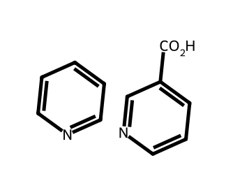 O=C(O)c1cccnc1.c1ccncc1